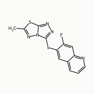 Cc1nn2c(Sc3cc4cccnc4cc3F)nnc2s1